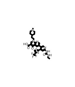 CCNC(=O)Nc1cc(-c2nc(C(F)(F)F)cs2)c(-c2cnc3c(c2)c(=O)c(C(=O)O)cn3CCC2CCN(C)CC2)cn1